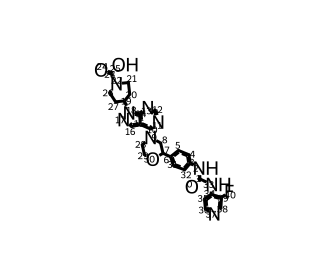 O=C(Nc1ccc(C2CN(c3ncnc4c3cnn4C3CCN(C(=O)O)CC3)CCO2)cc1)Nc1ccncc1F